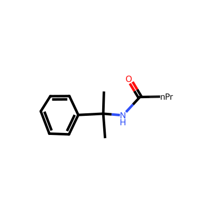 CCCC(=O)NC(C)(C)c1ccccc1